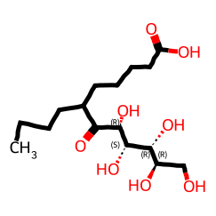 CCCCC(CCCCC(=O)O)C(=O)[C@H](O)[C@@H](O)[C@H](O)[C@H](O)CO